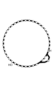 C1CCCCCCCCCCCCCCCCCC2CCC(COC2)NCCCCCCCCCCCCCCCC1.Cl